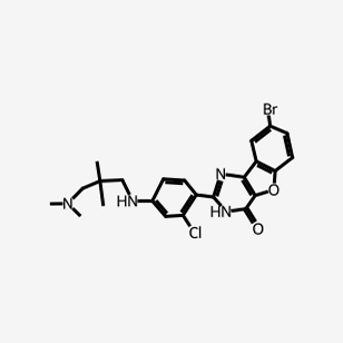 CN(C)CC(C)(C)CNc1ccc(-c2nc3c(oc4ccc(Br)cc43)c(=O)[nH]2)c(Cl)c1